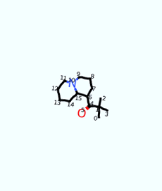 CC(C)(C)C(=O)C1CCCN2CCCCC12